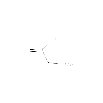 C=C(Br)CSC